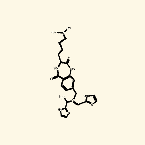 CCCN(CCC)CCCCC1NC(=O)c2ccc(CN(Cc3ncc[nH]3)C(C)c3ncc[nH]3)cc2NC1=O